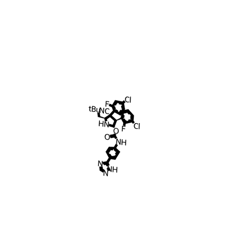 CC(C)(C)C[C@@H]1N[C@H](OC(=O)Nc2ccc(-c3ncn[nH]3)cc2)[C@H](c2cccc(Cl)c2F)[C@@]1(C#N)c1ccc(Cl)cc1F